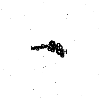 O=C1CCC(N2C(=O)c3cccc([S+]([O-])CCOCCOCCI)c3C2=O)C(=O)N1